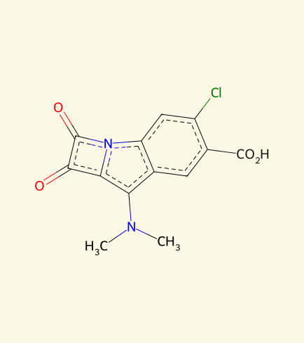 CN(C)c1c2cc(C(=O)O)c(Cl)cc2n2c(=O)c(=O)c12